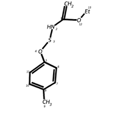 C=C(NSOc1ccc(C)cc1)OCC